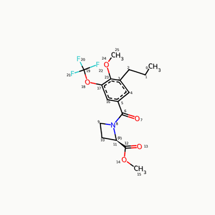 CCCc1cc(C(=O)N2CC[C@@H]2C(=O)OC)cc(OC(F)(F)F)c1OC